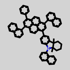 CC12CCCCC1(C)N(c1cccc3ccccc13)c1ccc(-c3cc(-c4cccc5ccccc45)c4ccc5c(-c6ccccc6)cc(-c6cccc7ccccc67)c6ccc3c4c56)cc12